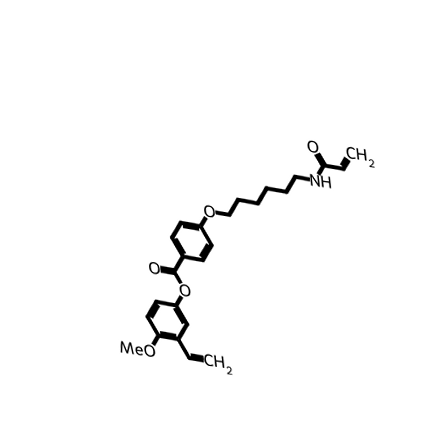 C=CC(=O)NCCCCCCOc1ccc(C(=O)Oc2ccc(OC)c(C=C)c2)cc1